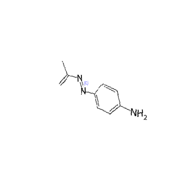 C=C(C)/N=N/c1ccc(N)cc1